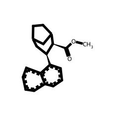 COC(=O)[C@@H]1C2CCC(C2)C[C@@H]1c1cccc2ccccc12